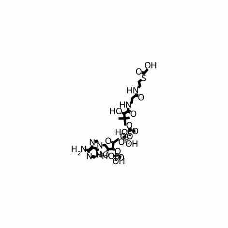 CC(C)(COP(=O)(O)OP(=O)(O)OCC1OC(n2cnc3c(N)ncnc32)C(O)C1OP(=O)(O)O)C(O)C(=O)NCCC(=O)NCCSC(=O)CO